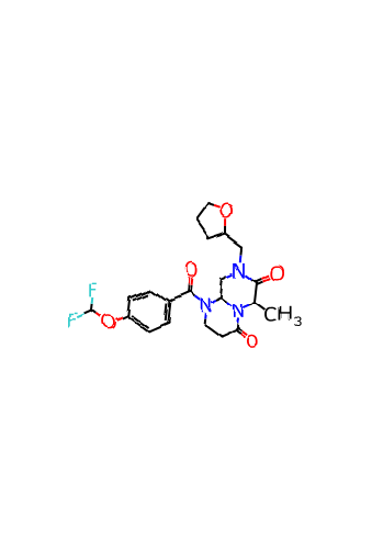 CC1C(=O)N(CC2CCCO2)CC2N(C(=O)c3ccc(OC(F)F)cc3)CCC(=O)N12